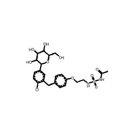 CC(=O)NS(=O)(=O)NCCOc1ccc(Cc2cc(C3OC(CO)C(O)C(O)C3O)ccc2Cl)cc1